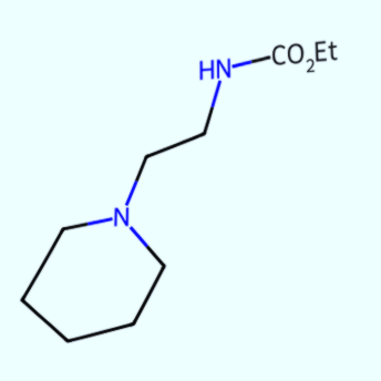 CCOC(=O)NCCN1CCCCC1